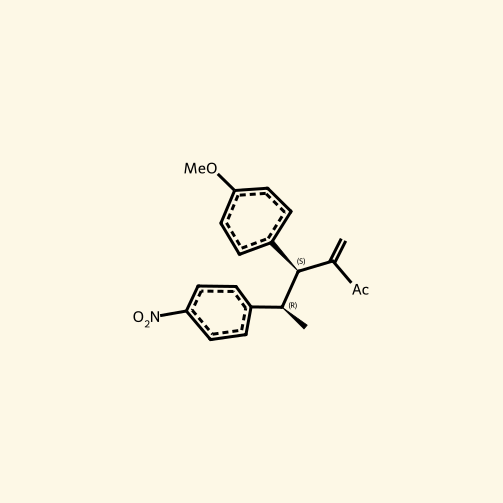 C=C(C(C)=O)[C@H](c1ccc(OC)cc1)[C@@H](C)c1ccc([N+](=O)[O-])cc1